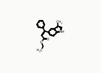 CCOC(=O)/C=C(/c1ccccc1)c1ccc2[nH]cc(C)c2c1